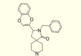 O=C1N(Cc2ccccc2)C(C2=COc3ccccc3O2)CC12CCNCC2